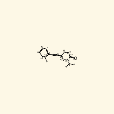 CC(C)n1nc(C#Cc2ccccc2F)ccc1=O